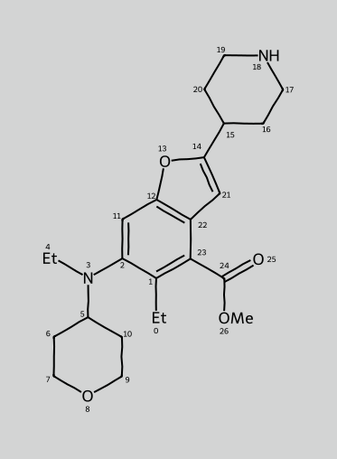 CCc1c(N(CC)C2CCOCC2)cc2oc(C3CCNCC3)cc2c1C(=O)OC